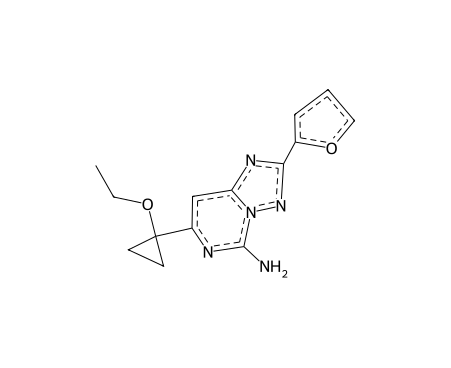 CCOC1(c2cc3nc(-c4ccco4)nn3c(N)n2)CC1